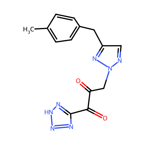 Cc1ccc(Cc2cnn(CC(=O)C(=O)c3nn[nH]n3)n2)cc1